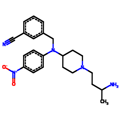 CC(N)CCN1CCC(N(Cc2cccc(C#N)c2)c2ccc([N+](=O)[O-])cc2)CC1